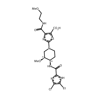 CCc1[nH]c(C(=O)N[C@@H]2CCN(c3nc(C(=O)NCCOC)c(C(=O)O)s3)C[C@@H]2OC)nc1Cl